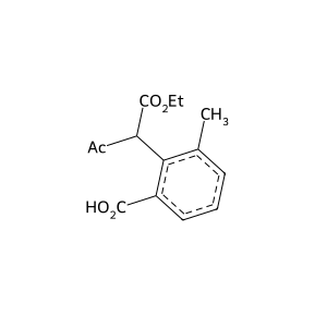 CCOC(=O)C(C(C)=O)c1c(C)cccc1C(=O)O